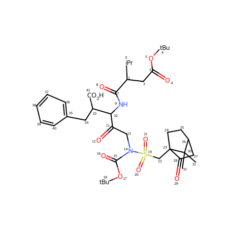 CC(C)C(CC(=O)OC(C)(C)C)C(=O)NC(C(=O)CN(C(=O)OC(C)(C)C)S(=O)(=O)CC12CCC(CC1=O)C2(C)C)C(Cc1ccccc1)C(=O)O